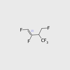 F/C=C(\F)C(CF)C(F)(F)F